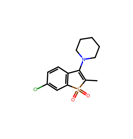 CC1=C(N2CCCCC2)c2ccc(Cl)cc2S1(=O)=O